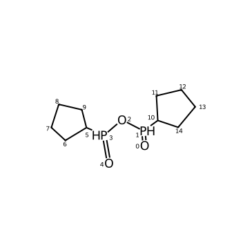 O=[PH](O[PH](=O)C1CCCC1)C1CCCC1